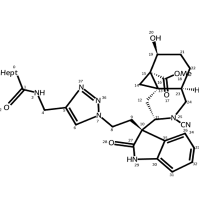 CCCCCCCC(=O)NCc1cn(CC[C@]2([C@@H]3C[C@]45C[C@@]4(C(=O)OC)[C@@H](O)CC[C@H]5CN3C#N)C(=O)Nc3ccccc32)nn1